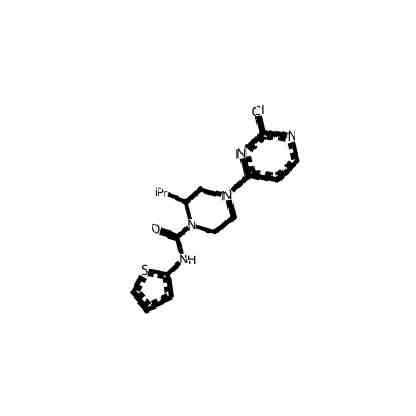 CC(C)C1CN(c2ccnc(Cl)n2)CCN1C(=O)Nc1cccs1